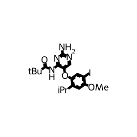 COc1cc(C(C)C)c(Oc2cnc(N)nc2NC(=O)C(C)(C)C)cc1I